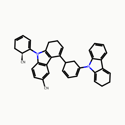 N#Cc1ccc2c(c1)c1c(n2C2=CC=CC[C@@H]2C#N)CCC=C1C1C=CC=C(n2c3c(c4ccccc42)=CCCC=3)C1